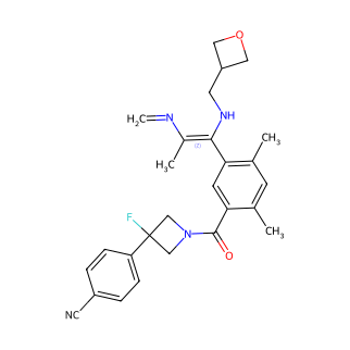 C=N/C(C)=C(\NCC1COC1)c1cc(C(=O)N2CC(F)(c3ccc(C#N)cc3)C2)c(C)cc1C